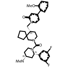 CN[C@@H]1CCN(C(=O)N2CC[C@@H](Cn3ccc(-c4ccccc4OC)cc3=O)C3(CCCC3)C2)[C@H](c2cc(F)cc(F)c2)C1